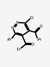 CCC(=O)c1c(C(C)C)nnc(CC)c1C(=O)C(C)C